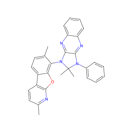 Cc1ccc2c(n1)oc1c(N3c4nc5ccccc5nc4N(c4ccccc4)C3(C)C)c(C)ccc12